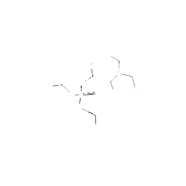 CCN(CC)CC.CCOP(=O)(OCC)OCC